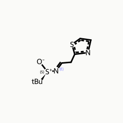 CC(C)(C)[S@@+]([O-])/N=C/Cc1nccs1